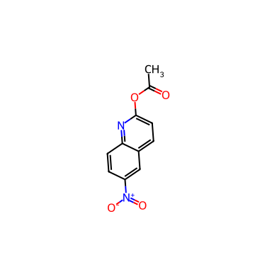 CC(=O)Oc1ccc2cc([N+](=O)[O-])ccc2n1